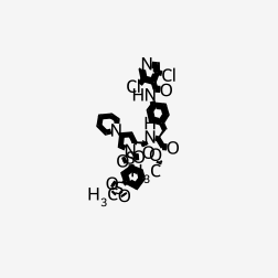 CCOC(=O)[C@H](Cc1ccc(NC(=O)c2c(Cl)cncc2Cl)cc1)NC(=O)[C@@H]1C[C@@H](N2CCCCC2)CN1S(=O)(=O)c1cccc(S(C)(=O)=O)c1